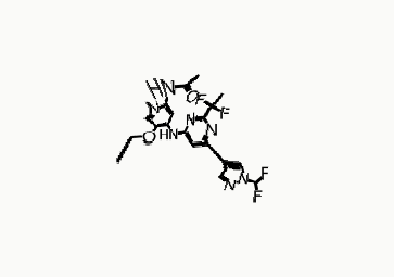 CCOc1cnc(NC(C)=O)cc1Nc1cc(-c2cnn(C(F)F)c2)nc(C(C)(F)F)n1